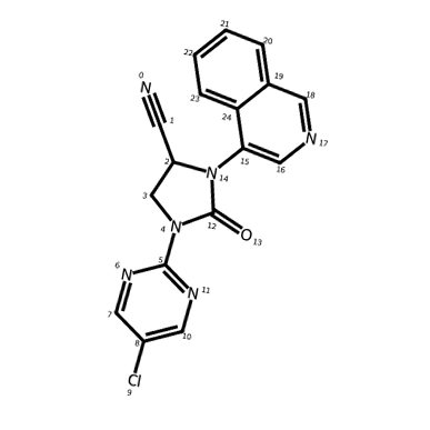 N#CC1CN(c2ncc(Cl)cn2)C(=O)N1c1cncc2ccccc12